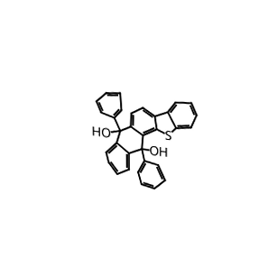 OC1(c2ccccc2)c2ccccc2C(O)(c2ccccc2)c2c1ccc1c2sc2ccccc21